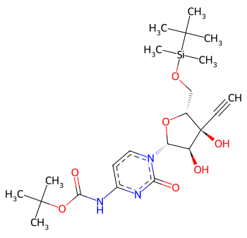 C#C[C@@]1(O)[C@@H](CO[Si](C)(C)C(C)(C)C)O[C@@H](n2ccc(NC(=O)OC(C)(C)C)nc2=O)[C@@H]1O